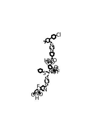 CC1(C)CCC(c2ccc(Cl)cc2)=C(CN2CCN(c3ccc(C(=O)NS(=O)(=O)c4ccc(N[C@H](CCN5CCN(Cc6cc(F)c(N7CCC(=O)NC7=O)cn6)CC5)CSc5ccccc5)c(S(=O)(=O)C(F)(F)F)c4)cc3)CC2)C1